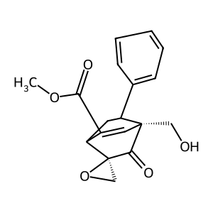 COC(=O)C1=C[C@]2(CO)C(=O)[C@]3(CO3)C1CC2c1ccccc1